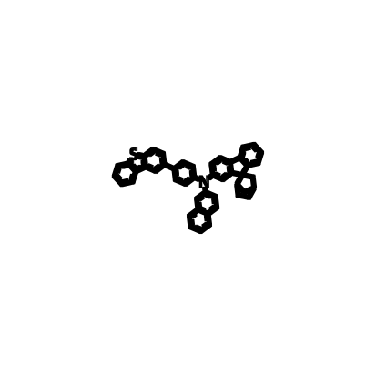 c1ccc2c(c1)-c1ccc(N(c3ccc(-c4ccc5sc6ccccc6c5c4)cc3)c3ccc4ccccc4c3)cc1C21CC2CCC1C2